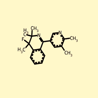 Cc1cc(C2=NC(C)(C)C(C)(F)c3ccccc32)cnc1C